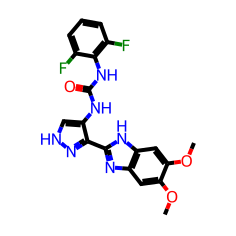 COc1cc2nc(-c3n[nH]cc3NC(=O)Nc3c(F)cccc3F)[nH]c2cc1OC